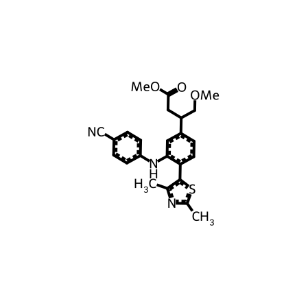 COCC(CC(=O)OC)c1ccc(-c2sc(C)nc2C)c(Nc2ccc(C#N)cc2)c1